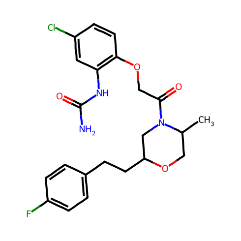 CC1COC(CCc2ccc(F)cc2)CN1C(=O)COc1ccc(Cl)cc1NC(N)=O